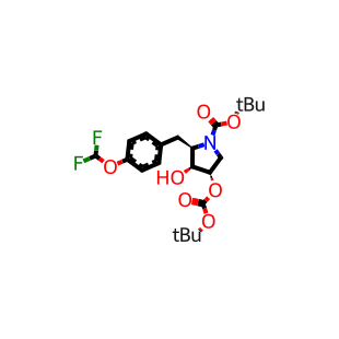 CC(C)(C)OC(=O)O[C@H]1CN(C(=O)OC(C)(C)C)[C@H](Cc2ccc(OC(F)F)cc2)[C@@H]1O